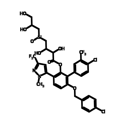 Cn1nc(C(F)(F)F)cc1-c1ccc(OCc2ccc(Cl)cc2)c(-c2ccc(Cl)c(C(F)(F)F)c2)c1OC(=O)C(O)C(O)C[S+]([O-])CC(O)CO